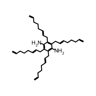 C=CCCCC=CCc1c(N)c(CC=CCCCC=C)c(CC=CCCCC=C)c(N)c1CC=CCCCC=C